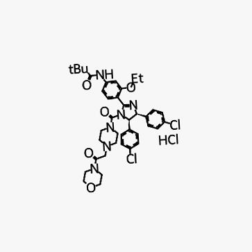 CCOc1cc(NC(=O)C(C)(C)C)ccc1C1=N[C@@H](c2ccc(Cl)cc2)[C@@H](c2ccc(Cl)cc2)N1C(=O)N1CCN(CC(=O)N2CCOCC2)CC1.Cl